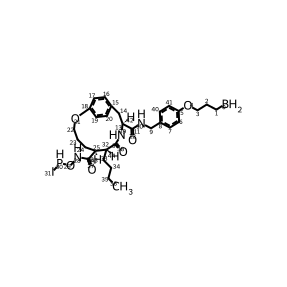 BCCCOc1ccc(CNC(=O)[C@@H]2Cc3ccc(cc3)OCCC[C@H](C(=O)NOPI)[C@@H](CCCC)C(=O)N2)cc1